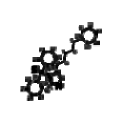 Cc1ncc(CCCCCc2ccccc2)n1P(=S)(c1ccccc1)c1ccccc1